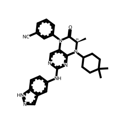 C[C@@H]1C(=O)N(c2cccc(C#N)c2)c2cnc(Nc3ccc4[nH]ncc4c3)nc2N1C1CCC(C)(C)CC1